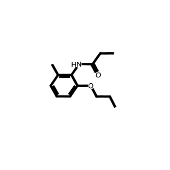 CCCOc1cccc(C)c1NC(=O)CC